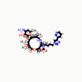 CC[C@H]1OC(=O)C(C)(F)C(=O)[C@@H](C)[C@@H](O[C@@H]2O[C@H](C)CC(N)C2O)[C@](C)(OC)C[C@@H](C)CN[C@H](C)[C@H]2N(CCCCn3cc(-c4cccnn4)nn3)C(=O)O[C@]12C